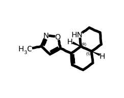 Cc1cc(C2=CCC[C@H]3CCCN[C@@H]23)on1